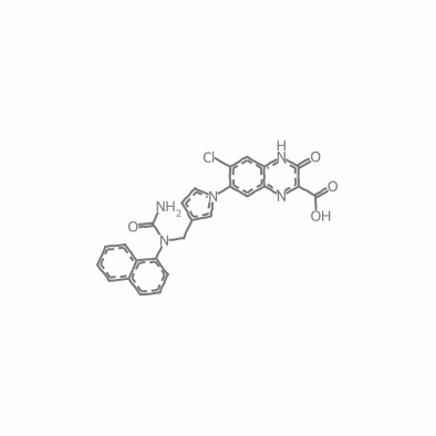 NC(=O)N(Cc1ccn(-c2cc3nc(C(=O)O)c(=O)[nH]c3cc2Cl)c1)c1cccc2ccccc12